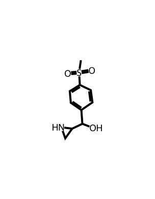 CS(=O)(=O)c1ccc(C(O)C2CN2)cc1